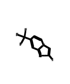 FC(F)(F)c1ccn2cc(I)nc2c1